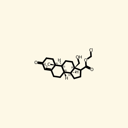 C[C@]12CCC(=O)C=C1CC[C@H]1[C@@H]3CCC(C(=O)OCCl)[C@@]3(CO)CC[C@@H]12